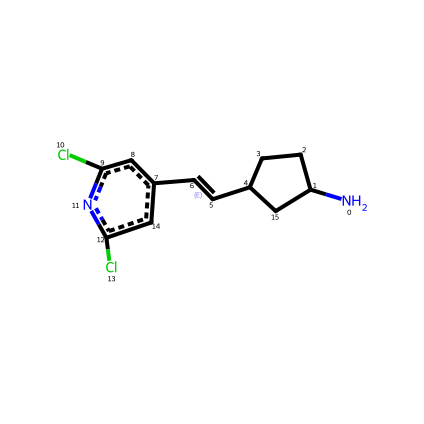 NC1CCC(/C=C/c2cc(Cl)nc(Cl)c2)C1